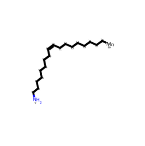 NCCCCCCCC/C=C\CCCCCCC[CH2][Mn]